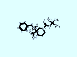 CC(C)(C)OC(=O)N1CCCC(C(=O)O)(S(=O)(=O)Cc2ccccc2)C1